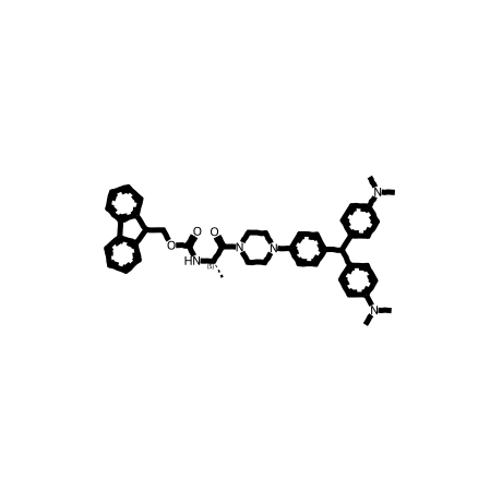 C[C@H](NC(=O)OCC1c2ccccc2-c2ccccc21)C(=O)N1CCN(c2ccc(C(c3ccc(N(C)C)cc3)c3ccc(N(C)C)cc3)cc2)CC1